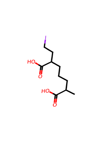 CC(CCCC(CCI)C(=O)O)C(=O)O